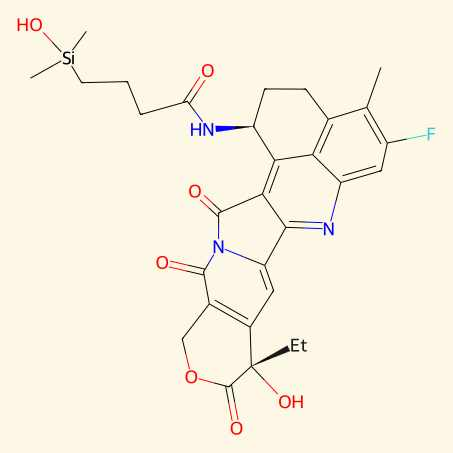 CC[C@@]1(O)C(=O)OCc2c1cc1n(c2=O)C(=O)c2c-1nc1cc(F)c(C)c3c1c2[C@@H](NC(=O)CCC[Si](C)(C)O)CC3